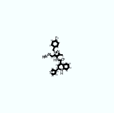 Cc1nn(Cc2ccc(F)cc2)c(CN=[N+]=[N-])c1NC(=O)C1=CC(c2ccsc2)Nc2ccccc21